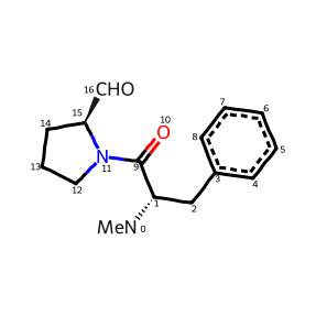 CN[C@@H](Cc1ccccc1)C(=O)N1CCC[C@H]1C=O